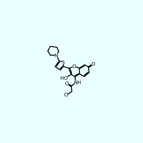 O=C(CCl)Nc1c2ccc(=O)cc-2oc(-c2ccc(N3CCCCC3)s2)c1O